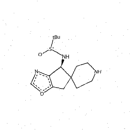 CC(C)(C)[S+]([O-])N[C@@H]1c2ncoc2CC12CCNCC2